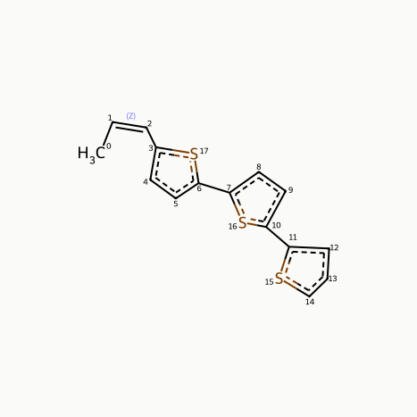 C/C=C\c1ccc(-c2ccc(-c3cccs3)s2)s1